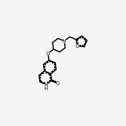 O=c1[nH]ccc2cc(OC3CCN(Cc4ccco4)CC3)ccc12